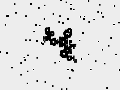 Cc1cccc2c1nc(C(F)F)n2-c1nc(N2CCOCC2)nc(N2CC[C@H](NC(=O)CCl)C2)n1